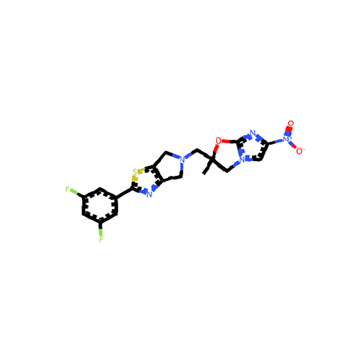 CC1(CN2Cc3nc(-c4cc(F)cc(F)c4)sc3C2)Cn2cc([N+](=O)[O-])nc2O1